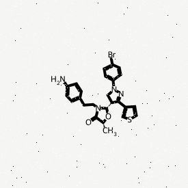 C[C@H]1O[C@@H](C2CN(c3ccc(Br)cc3)N=C2c2ccsc2)N(CCc2ccc(N)cc2)C1=O